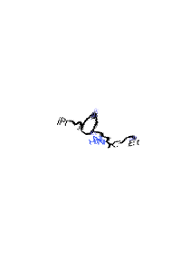 CC/C=C\CC=C=C(C)C1CC(C/C2=C/CC[C@@](C)(CCCC(C)C)C/C=C\C2)=NN1